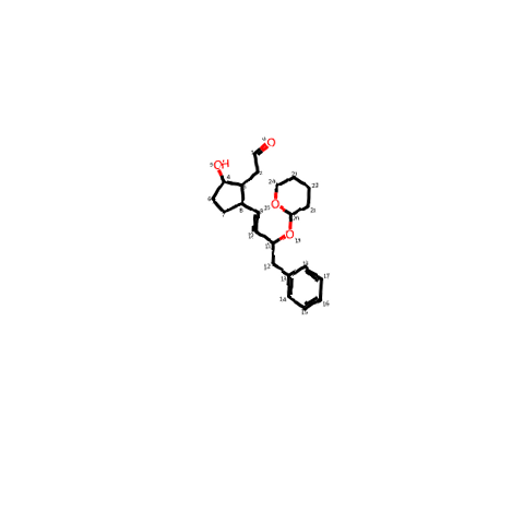 O=CCC1C(O)CCC1C=CC(Cc1ccccc1)OC1CCCCO1